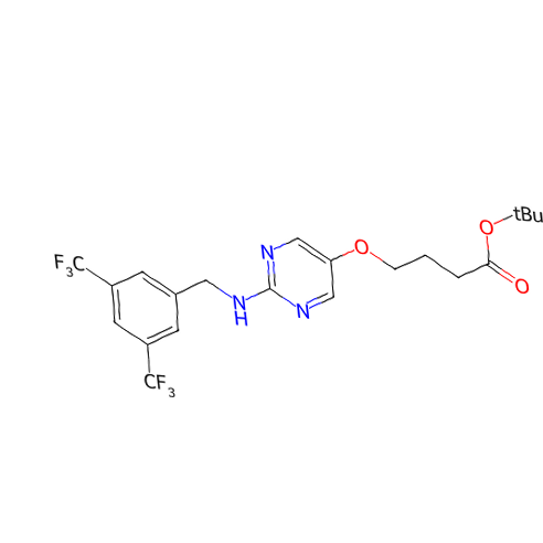 CC(C)(C)OC(=O)CCCOc1cnc(NCc2cc(C(F)(F)F)cc(C(F)(F)F)c2)nc1